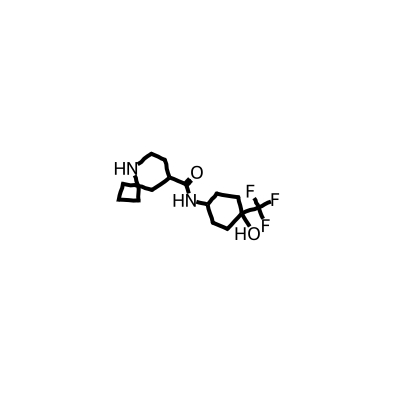 O=C(NC1CCC(O)(C(F)(F)F)CC1)C1CCNC2(CCC2)C1